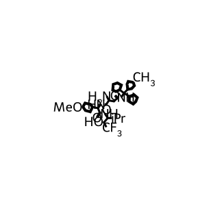 COc1ccc(C(NC(=O)C(N)CC(=O)NC(c2ccccc2)(c2ccccc2)c2ccc(C)cc2)C(=O)NC(C(C)C)C(O)C(F)(F)F)cc1